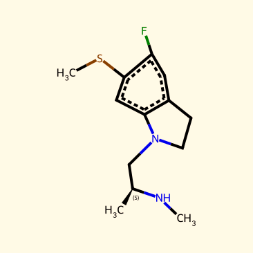 CN[C@@H](C)CN1CCc2cc(F)c(SC)cc21